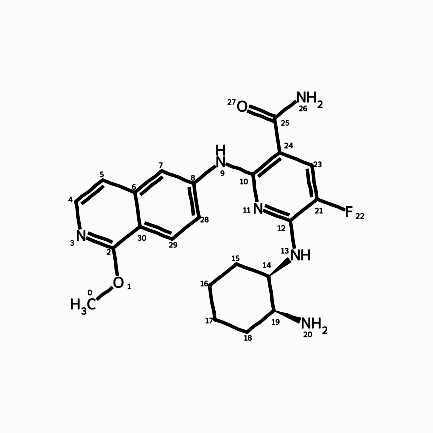 COc1nccc2cc(Nc3nc(N[C@@H]4CCCC[C@@H]4N)c(F)cc3C(N)=O)ccc12